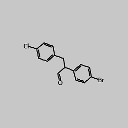 O=CC(Cc1ccc(Cl)cc1)c1ccc(Br)cc1